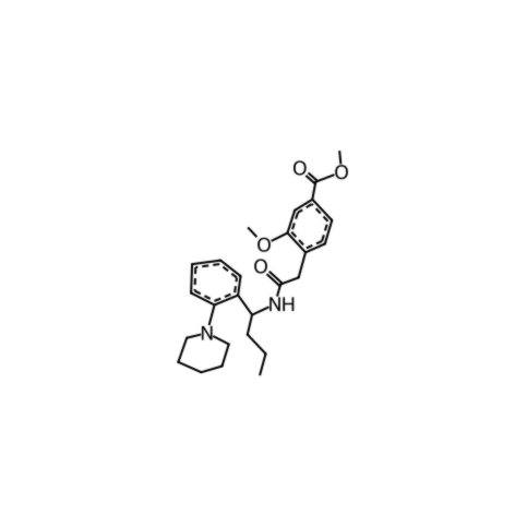 CCCC(NC(=O)Cc1ccc(C(=O)OC)cc1OC)c1ccccc1N1CCCCC1